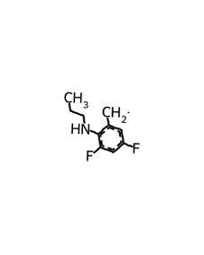 [CH2]c1cc(F)cc(F)c1NCCC